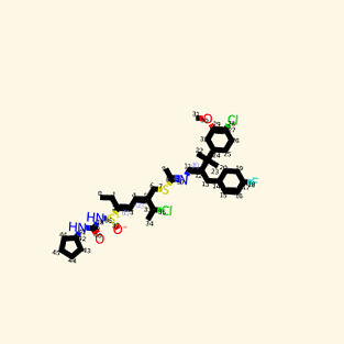 CC/C(=C\C=C(\CS/C(C)=N/C=C(\CC1C=CC(F)CC1)C(C)(C)C1CCC(Cl)=C(OC)C1)C(C)Cl)[S+]([O-])NC(=O)NC1CCCC1